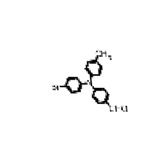 Cc1ccc(N(c2ccc(Br)cc2)c2ccc(C=O)cc2)cc1